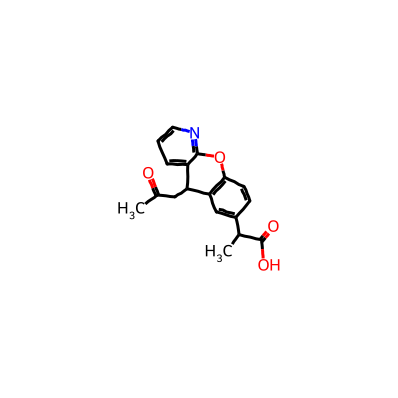 CC(=O)CC1c2cc(C(C)C(=O)O)ccc2Oc2ncccc21